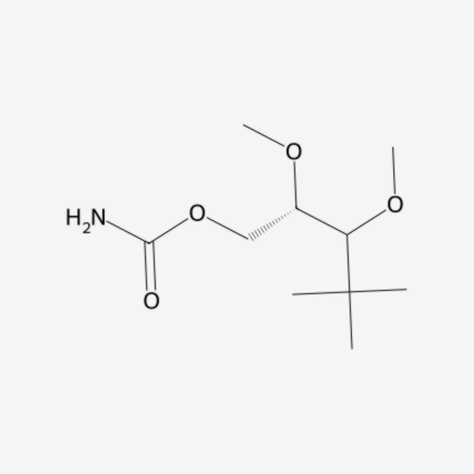 COC([C@H](COC(N)=O)OC)C(C)(C)C